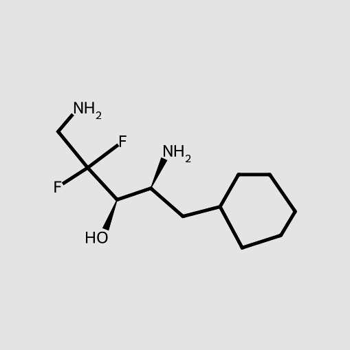 NCC(F)(F)[C@H](O)[C@@H](N)CC1CCCCC1